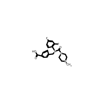 CN1CCN(C(=O)N(Cc2ccc(C(=O)O)cc2)c2ccc(F)cc2F)CC1